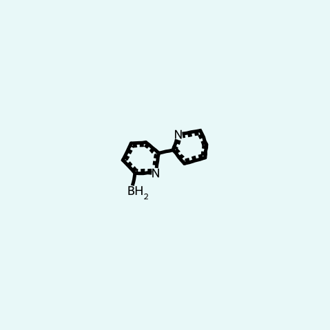 Bc1cccc(-c2ccccn2)n1